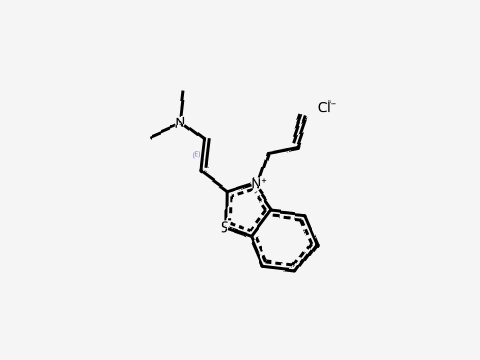 C=CC[n+]1c(/C=C/N(C)C)sc2ccccc21.[Cl-]